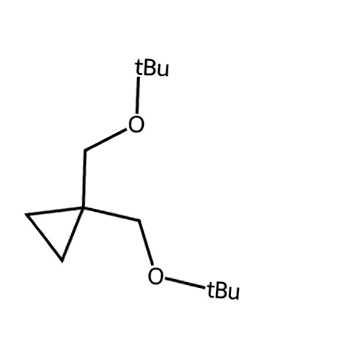 CC(C)(C)OCC1(COC(C)(C)C)CC1